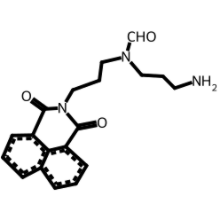 NCCCN(C=O)CCCN1C(=O)c2cccc3cccc(c23)C1=O